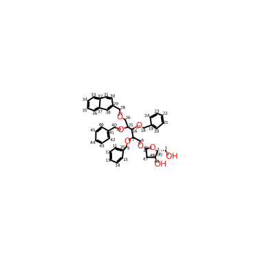 OC[C@H]1O[C@@H](OCC(OCc2ccccc2)C(OCc2ccccc2)C(COCc2ccc3ccccc3c2)OCc2ccccc2)CC1O